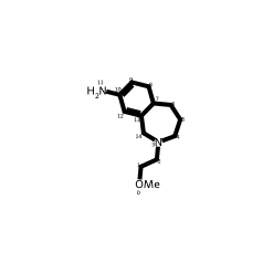 COCCN1CCCC2CC=C(N)C=C2C1